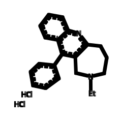 CCN1CCCc2nc3ccccc3c(-c3ccccc3)c2C1.Cl.Cl